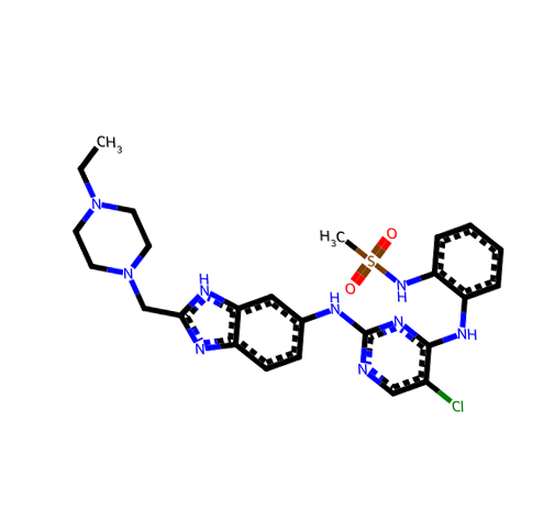 CCN1CCN(Cc2nc3ccc(Nc4ncc(Cl)c(Nc5ccccc5NS(C)(=O)=O)n4)cc3[nH]2)CC1